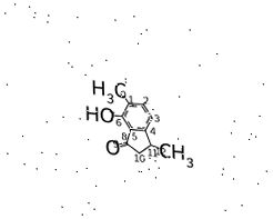 Cc1ccc2c(c1O)C(=O)CC2C